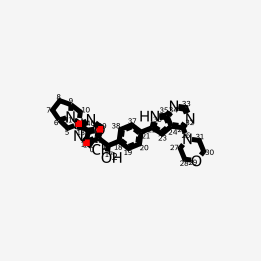 C=CC(=O)N1CC2CCC(C1)N2c1ncc(C(O)c2ccc(-c3cc4c(N5CCOCC5)ncnc4[nH]3)cc2)cn1